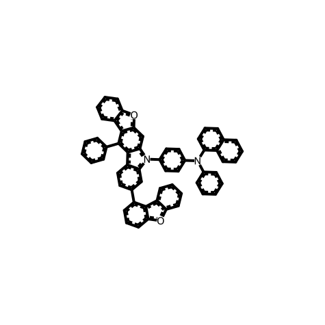 c1ccc(-c2c3c(cc4c2c2ccc(-c5cccc6oc7ccccc7c56)cc2n4-c2ccc(N(c4ccccc4)c4cccc5ccccc45)cc2)oc2ccccc23)cc1